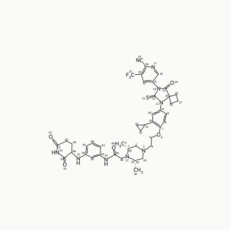 C[C@@H]1CN(CCOc2ccc(N3C(=S)N(c4cnc(C#N)c(C(F)(F)F)c4)C(=O)C34CCC4)cc2C2CC2)C[C@H](C)N1CC(=O)Nc1cccc(NC2CCC(=O)NC2=O)c1